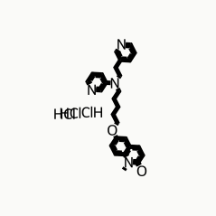 Cl.Cl.Cl.Cn1c(=O)ccc2cc(OCCCCCN(CCc3cccnc3)c3cccnc3)ccc21